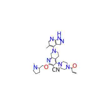 C=CC(=O)N1CCN(c2c(C#N)c(OCC3CCCN3C)nc3c2CCN(c2c(C)cnc4[nH]ncc24)C3)CC1